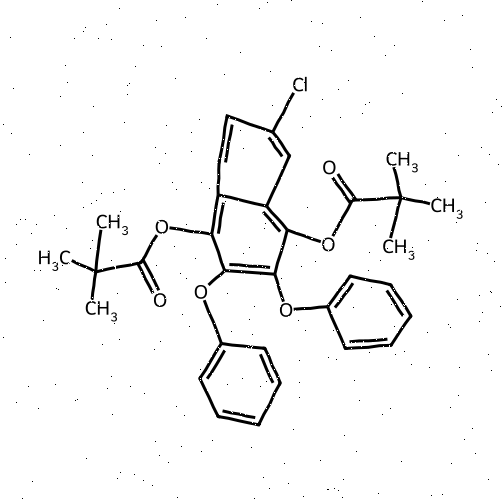 CC(C)(C)C(=O)Oc1c(Oc2ccccc2)c(Oc2ccccc2)c(OC(=O)C(C)(C)C)c2cc(Cl)ccc12